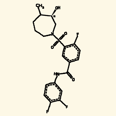 CC1CCCN(S(=O)(=O)c2cc(C(=O)Nc3ccc(F)c(F)c3)ccc2F)C[C@H]1O